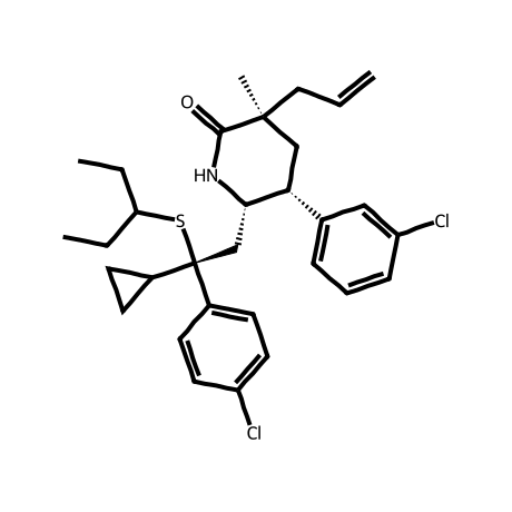 C=CC[C@@]1(C)C[C@H](c2cccc(Cl)c2)[C@H](C[C@@](SC(CC)CC)(c2ccc(Cl)cc2)C2CC2)NC1=O